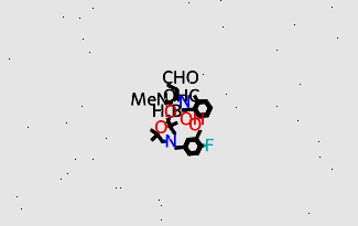 BC(O)(c1c(C=O)cccc1OCc1cc(CN2CC(C)(C)OC(C)(C)C2)ccc1F)N(C)C(CCC=O)C(=O)NC